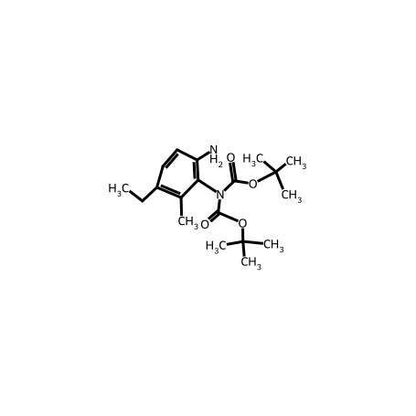 CCc1ccc(N)c(N(C(=O)OC(C)(C)C)C(=O)OC(C)(C)C)c1C